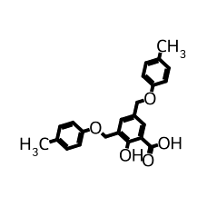 Cc1ccc(OCc2cc(COc3ccc(C)cc3)c(O)c(C(=O)O)c2)cc1